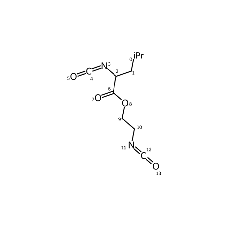 CC(C)CC(N=C=O)C(=O)OCCN=C=O